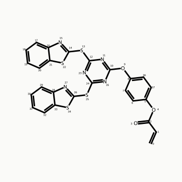 C=CC(=O)Oc1ccc(Oc2nc(Sc3nc4ccccc4s3)nc(Sc3nc4ccccc4s3)n2)cc1